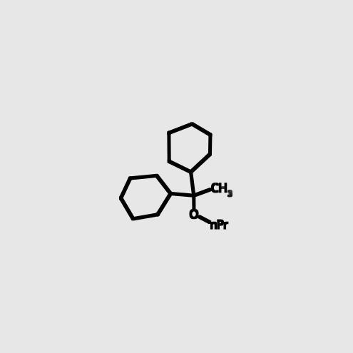 CCCOC(C)(C1CCCCC1)C1CCCCC1